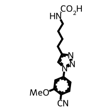 COc1cc(-n2cc(CCCCNC(=O)O)nn2)ccc1C#N